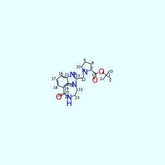 CC(C)(C)OC(=O)[C@@H]1CCCN1Cc1nc2cccc3c2n1CCNC3=O